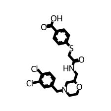 O=C(CSc1ccc(C(=O)O)cc1)NCC1CN(Cc2ccc(Cl)c(Cl)c2)CCO1